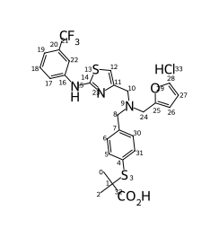 CC(C)(Sc1ccc(CN(Cc2csc(Nc3cccc(C(F)(F)F)c3)n2)Cc2ccco2)cc1)C(=O)O.Cl